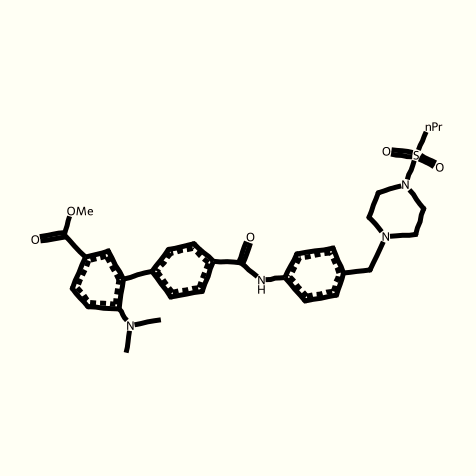 CCCS(=O)(=O)N1CCN(Cc2ccc(NC(=O)c3ccc(-c4cc(C(=O)OC)ccc4N(C)C)cc3)cc2)CC1